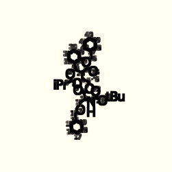 CC(C)C(=O)O[C@@H]([C@H](C)OC(=O)C(COCc1ccccc1)NC(=O)OC(C)(C)C)[C@@H](Cc1ccccc1)C(=O)OCc1ccccc1